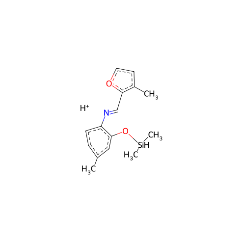 Cc1ccc(N=Cc2occc2C)c(O[SiH](C)C)c1.[H+]